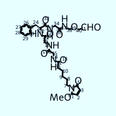 COC1C=CC(=O)N1CCCCCC(=O)NCC(=O)NCC(=O)N[C@@H](Cc1ccccc1)C(=O)NCC(=O)NCOCC=O